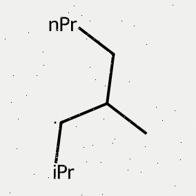 CCCCC(C)[CH]C(C)C